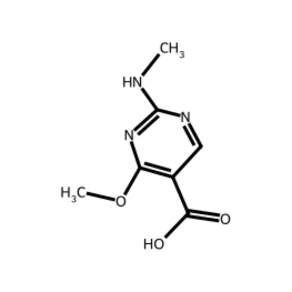 CNc1ncc(C(=O)O)c(OC)n1